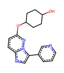 OC1CCC(Oc2ccc3ncc(-c4cccnc4)n3n2)CC1